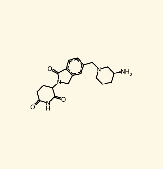 N[C@H]1CCCN(Cc2ccc3c(c2)CN(C2CCC(=O)NC2=O)C3=O)C1